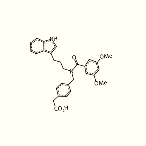 COc1cc(OC)cc(C(=O)N(CCCc2c[nH]c3ccccc23)Cc2ccc(CC(=O)O)cc2)c1